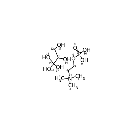 C[N+](C)(C)CCOP(=O)(O)O.OCC(O)C(O)(O)O